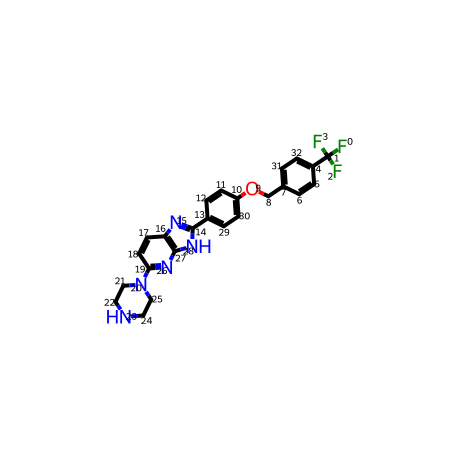 FC(F)(F)c1ccc(COc2ccc(-c3nc4ccc(N5CCNCC5)nc4[nH]3)cc2)cc1